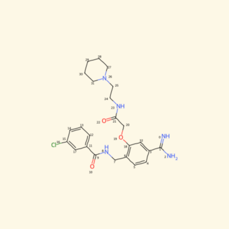 N=C(N)c1ccc(CNC(=O)c2cccc(Cl)c2)c(OCC(=O)NCCN2CCCCC2)c1